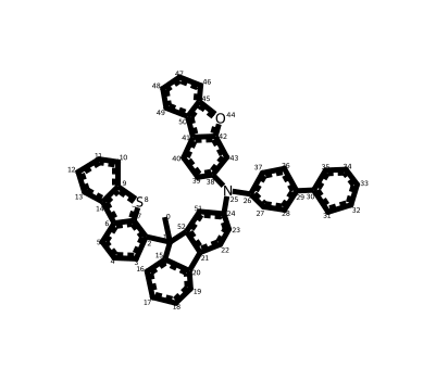 CC1(c2cccc3c2sc2ccccc23)c2ccccc2-c2ccc(N(c3ccc(-c4ccccc4)cc3)c3ccc4c(c3)oc3ccccc34)cc21